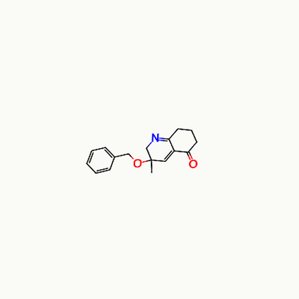 CC1(OCc2ccccc2)C=C2C(=O)CCCC2=NC1